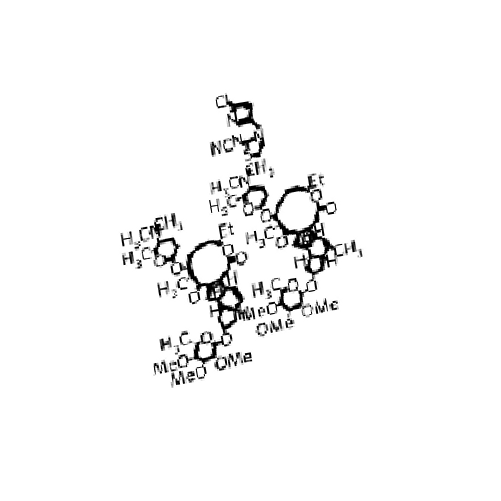 CC[C@H]1CCC[C@H](O[C@H]2CC[C@H](N(C)C)[C@@H](C)O2)[C@@H](C)C(=O)C2=C[C@@H]3[C@@H](C=C(C)[C@@H]4C[C@@H](O[C@@H]5O[C@@H](C)[C@H](OC)[C@@H](OC)[C@H]5OC)C[C@@H]34)[C@@H]2CC(=O)O1.CC[C@H]1CCC[C@H](O[C@H]2CC[C@H](N(C)C)[C@@H](C)O2)[C@@H](C)C(=O)C2=C[C@@H]3[C@@H](C=C[C@@H]4C[C@@H](O[C@@H]5O[C@@H](C)[C@H](OC)[C@@H](OC)[C@H]5OC)C[C@@H]34)[C@@H]2CC(=O)O1.N#C/N=C1\SCCN1Cc1ccc(Cl)nc1